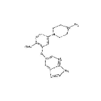 O=Cc1ccc(N2CCN(P)CC2)cc1Oc1cnc2[nH]ccc2c1